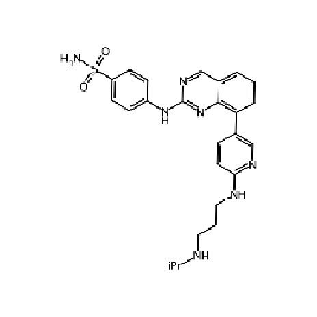 CC(C)NCCCNc1ccc(-c2cccc3cnc(Nc4ccc(S(N)(=O)=O)cc4)nc23)cn1